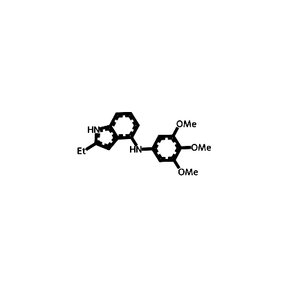 [CH2]Cc1cc2c(Nc3cc(OC)c(OC)c(OC)c3)cccc2[nH]1